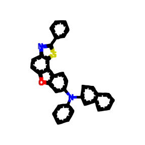 c1ccc(-c2nc3ccc4oc5cc(N(c6ccccc6)c6ccc7ccccc7c6)ccc5c4c3s2)cc1